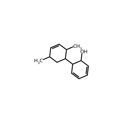 CC1C=CC(C)C(C2C=CC=CC2O)C1